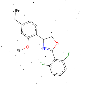 CCOc1cc(CC(C)C)ccc1C1COC(c2c(F)cccc2F)=N1